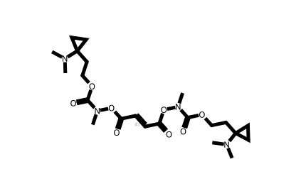 CN(OC(=O)/C=C/C(=O)ON(C)C(=O)OCCC1(N(C)C)CC1)C(=O)OCCC1(N(C)C)CC1